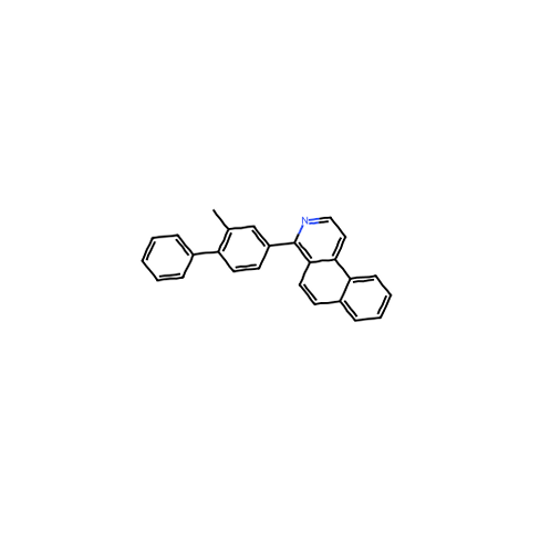 Cc1cc(-c2nccc3c2ccc2ccccc23)ccc1-c1ccccc1